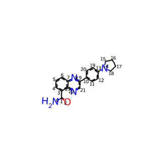 NC(=O)c1cccc2nc(-c3ccc(N4CCCC4)cc3)cnc12